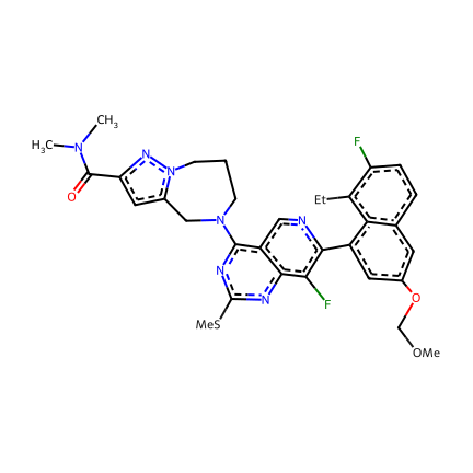 CCc1c(F)ccc2cc(OCOC)cc(-c3ncc4c(N5CCCn6nc(C(=O)N(C)C)cc6C5)nc(SC)nc4c3F)c12